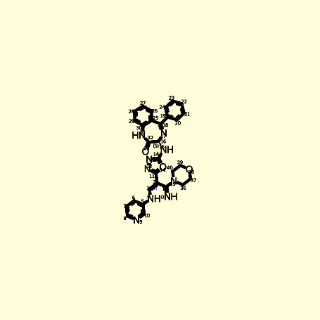 N=C(/C(=C\Nc1cccnc1)c1nnc(N[C@H]2N=C(c3ccccc3)c3ccccc3NC2=O)o1)N1CCOCC1